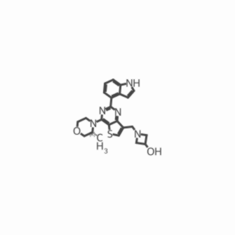 C[C@@H]1COCCN1c1nc(-c2cccc3[nH]ccc23)nc2c(CN3CC(O)C3)csc12